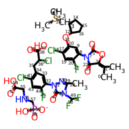 CC(C)=C1OC(=O)N(c2cc(OC3CCCC3)c(Cl)cc2F)C1=O.C[S+](C)C.Cc1nn(-c2cc(CC(Cl)C(=O)O)c(Cl)cc2F)c(=O)n1C(F)F.O=C(O)CNCP(=O)([O-])O